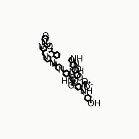 COc1cc(CN2CC[C@H](N3CC4(CCN(c5ccc(C(=O)NS(=O)(=O)c6ccc(NC[C@H]7CC[C@](C)(O)CC7)c([N+](=O)[O-])c6)c(N6c7cc8cc[nH]c8nc7O[C@H]7COCC[C@@H]76)c5)CC4)C3)[C@H](c3ccccc3C(C)C)C2)cnc1N1CCOCC1